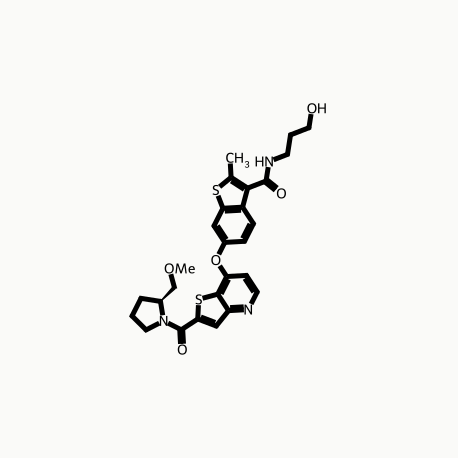 COC[C@@H]1CCCN1C(=O)c1cc2nccc(Oc3ccc4c(C(=O)NCCCO)c(C)sc4c3)c2s1